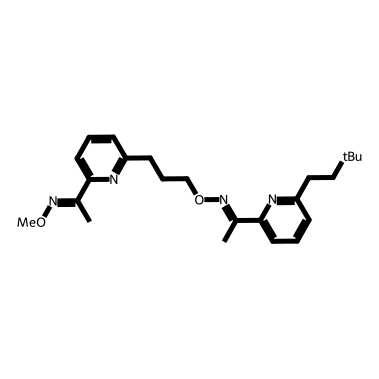 CO/N=C(\C)c1cccc(CCCO/N=C(\C)c2cccc(CCC(C)(C)C)n2)n1